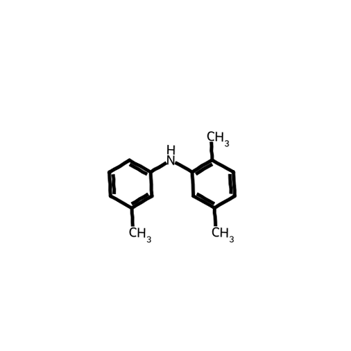 Cc1cccc(Nc2cc(C)ccc2C)c1